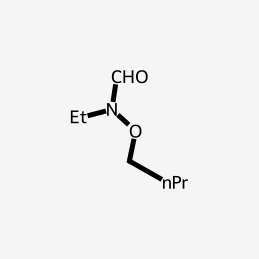 CCCCON(C=O)CC